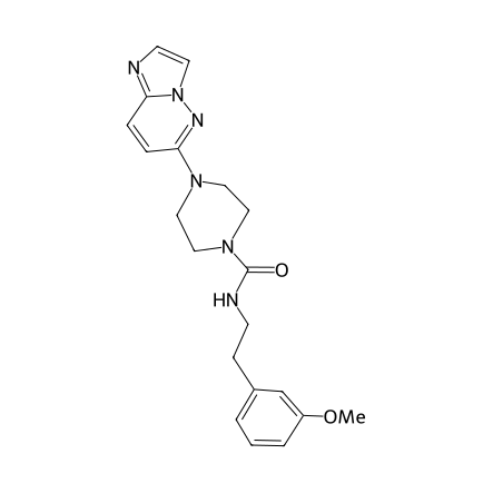 COc1cccc(CCNC(=O)N2CCN(c3ccc4nccn4n3)CC2)c1